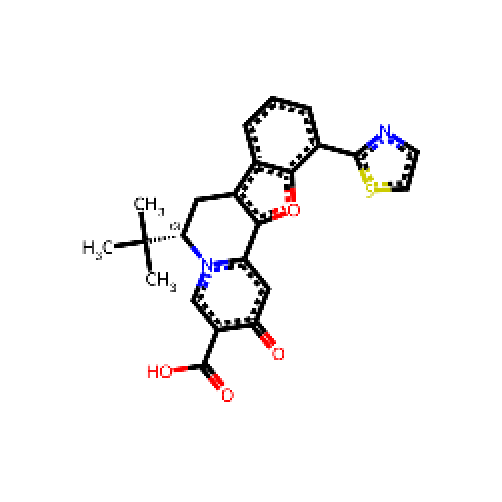 CC(C)(C)[C@@H]1Cc2c(oc3c(-c4nccs4)cccc23)-c2cc(=O)c(C(=O)O)cn21